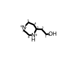 OCCC1CC[N]CCN1